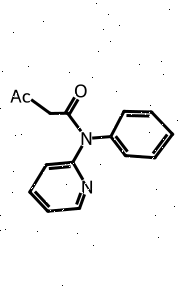 CC(=O)CC(=O)N(c1ccccc1)c1ccccn1